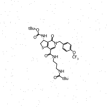 CC(C)(C)OC(=O)N[C@H]1CSc2c(C(=O)NCCCNC(=O)C(C)(C)C)cn(Cc3ccc(OC(F)(F)F)cc3)c(=O)c21